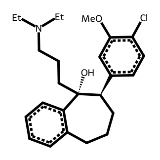 CCN(CC)CCC[C@]1(O)c2ccccc2CCC[C@@H]1c1ccc(Cl)c(OC)c1